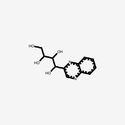 OCC(O)C(O)C(O)c1cnc2ccccc2n1